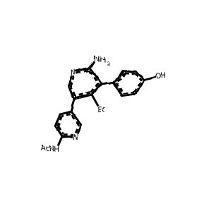 CCc1c(-c2ccc(NC(C)=O)nc2)cnc(N)c1-c1ccc(O)cc1